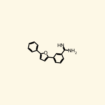 N=C(N)c1cccc(-c2ccc(-c3ccccc3)o2)c1